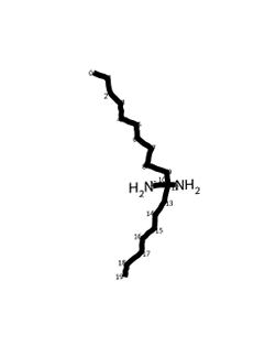 CCCCCCCCCCC(N)(N)CCCCCCC